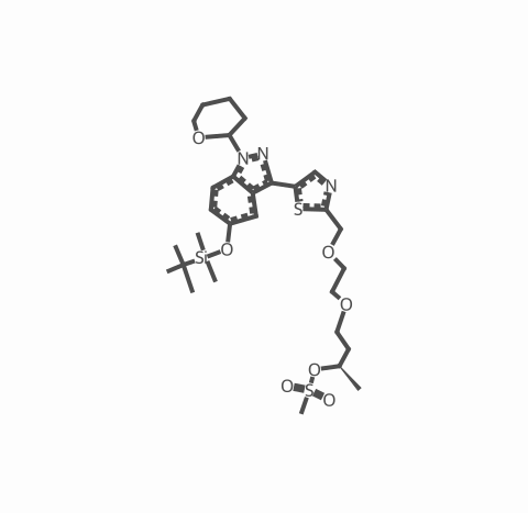 C[C@H](CCOCCOCc1ncc(-c2nn(C3CCCCO3)c3ccc(O[Si](C)(C)C(C)(C)C)cc23)s1)OS(C)(=O)=O